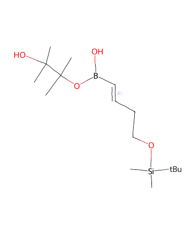 CC(C)(O)C(C)(C)OB(O)/C=C/CCO[Si](C)(C)C(C)(C)C